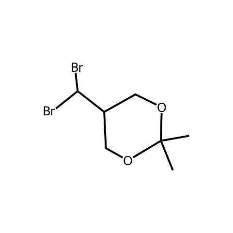 CC1(C)OCC(C(Br)Br)CO1